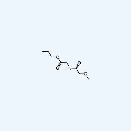 CCCOC(=O)CNC(=O)COC